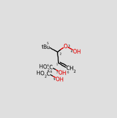 C=CC(OO)C(C)(C)C.O=C(O)O.O=C(O)O